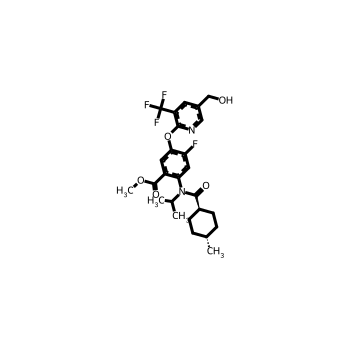 COC(=O)c1cc(Oc2ncc(CO)cc2C(F)(F)F)c(F)cc1N(C(=O)[C@H]1CC[C@H](C)CC1)C(C)C